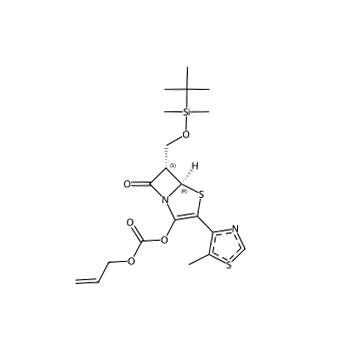 C=CCOC(=O)OC1=C(c2ncsc2C)S[C@@H]2[C@@H](CO[Si](C)(C)C(C)(C)C)C(=O)N12